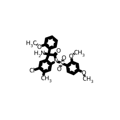 COc1ccc(S(=O)(=O)N2C(=O)C(N)(c3ccccc3OC)c3cc(Cl)c(C)cc32)c(OC)c1